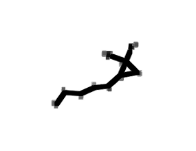 [CH2]CCCCC1CC1(F)F